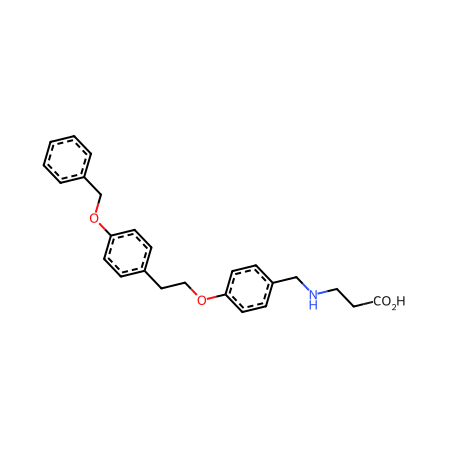 O=C(O)CCNCc1ccc(OCCc2ccc(OCc3ccccc3)cc2)cc1